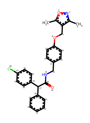 Cc1noc(C)c1COc1ccc(CNC(=O)C(c2ccccc2)c2ccc(Cl)cc2)cc1